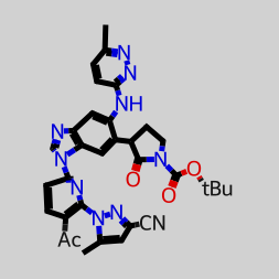 CC(=O)c1ccc(-n2cnc3cc(Nc4ccc(C)nn4)c(C4CCN(C(=O)OC(C)(C)C)C4=O)cc32)nc1-n1nc(C#N)cc1C